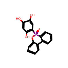 O=P1(c2cc(O)c(O)cc2O)Oc2ccccc2-c2ccccc21